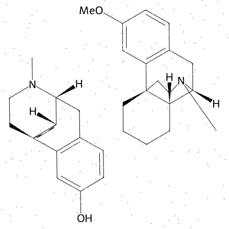 CN1CC[C@]23CCCC[C@H]2[C@H]1Cc1ccc(O)cc13.COc1ccc2c(c1)[C@@]13CCCC[C@H]1[C@@H](C2)N(C)CC3